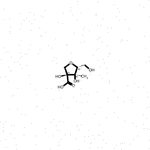 C[C@@]1(O)[C@@H](CO)O[CH][C@@]1(O)C(=O)O